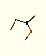 CCB(C)SC